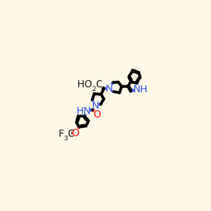 O=C(O)C(C1CCN(C(=O)Nc2ccc(OC(F)(F)F)cc2)CC1)N1CCC(c2c[nH]c3ccccc23)CC1